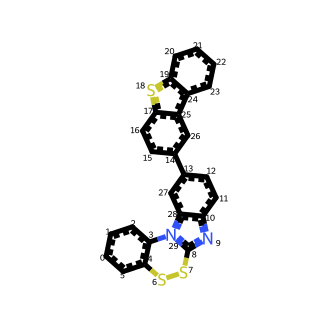 c1ccc2c(c1)SSc1nc3ccc(-c4ccc5sc6ccccc6c5c4)cc3n1-2